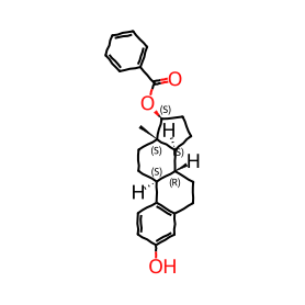 C[C@]12CC[C@@H]3c4ccc(O)cc4CC[C@H]3[C@@H]1CC[C@@H]2OC(=O)c1ccccc1